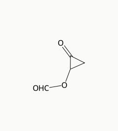 O=COC1CC1=O